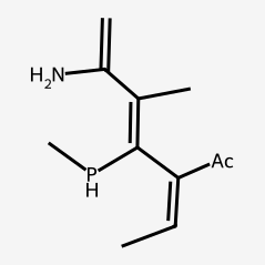 C=C(N)/C(C)=C(PC)/C(=C\C)C(C)=O